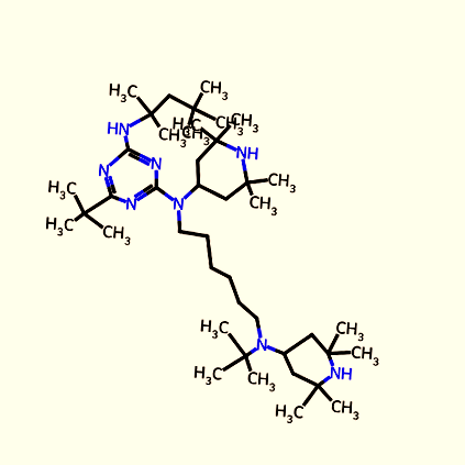 CC(C)(C)CC(C)(C)Nc1nc(N(CCCCCCN(C2CC(C)(C)NC(C)(C)C2)C(C)(C)C)C2CC(C)(C)NC(C)(C)C2)nc(C(C)(C)C)n1